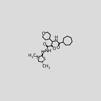 C[C@@H]1CN(C)/C(=N/NC(=O)C(=O)C(NC(=O)C2CCCCCC2)C2CCOCC2)S1